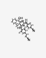 COc1ccccc1C(O)c1cc(Nc2c(C)cc(/C=C/C#N)cc2C)nc(Nc2ccc(C#N)cc2)n1